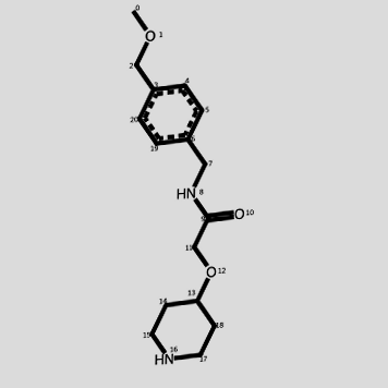 COCc1ccc(CNC(=O)COC2CCNCC2)cc1